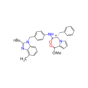 CCCCc1nc2c(C)cccc2n1Cc1ccc(NC(=O)[C@H](Cc2ccccc2)n2cccc2C(=O)OC)cc1